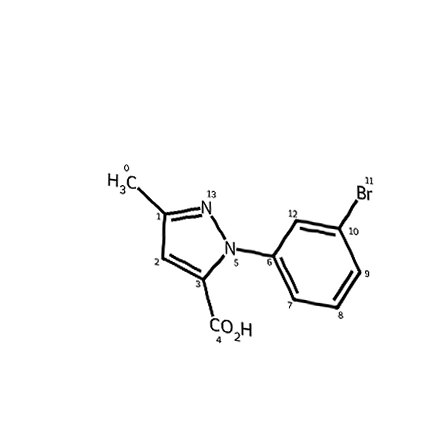 Cc1cc(C(=O)O)n(-c2cccc(Br)c2)n1